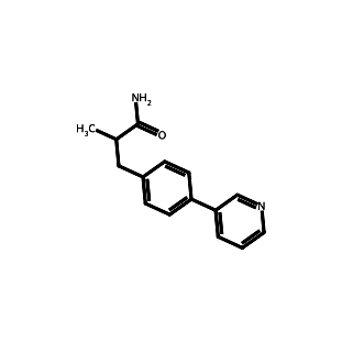 CC(Cc1ccc(-c2cccnc2)cc1)C(N)=O